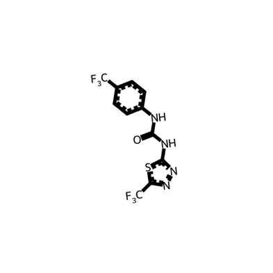 O=C(Nc1ccc(C(F)(F)F)cc1)Nc1nnc(C(F)(F)F)s1